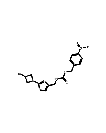 O=C(NCc1csc(N2CC(O)C2)n1)OCc1ccc([N+](=O)[O-])cc1